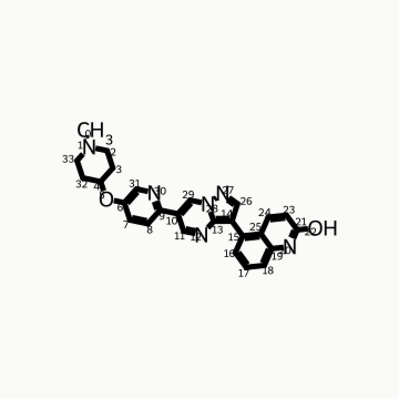 CN1CCC(Oc2ccc(-c3cnc4c(-c5cccc6nc(O)ccc56)cnn4c3)nc2)CC1